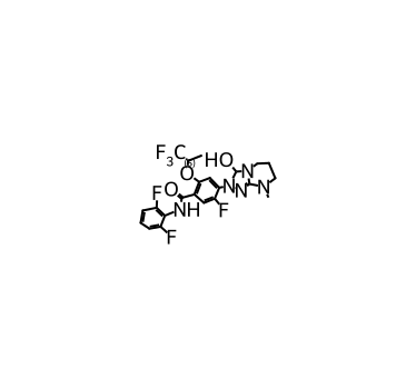 C[C@H](Oc1cc(N2N=C3N(C)CCCN3C2O)c(F)cc1C(=O)Nc1c(F)cccc1F)C(F)(F)F